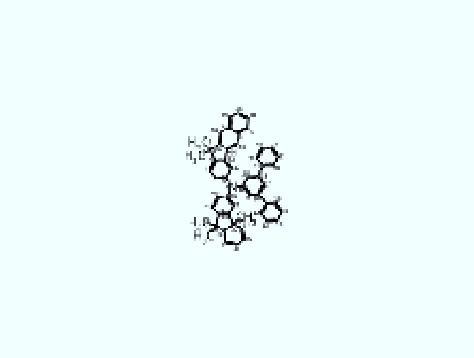 CC1(C)c2ccc(N(c3cc(-c4ccccc4)cc(-c4ccccc4)c3)c3ccc4c(c3)C3(C)C=CC=CC3C4(C)C)cc2-c2cc3ccccc3cc21